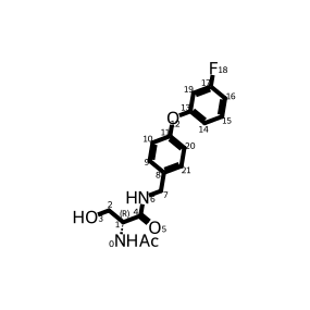 CC(=O)N[C@H](CO)C(=O)NCc1ccc(Oc2cccc(F)c2)cc1